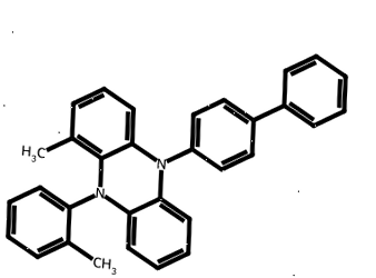 Cc1ccccc1N1c2ccccc2N(c2ccc(-c3ccccc3)cc2)c2cccc(C)c21